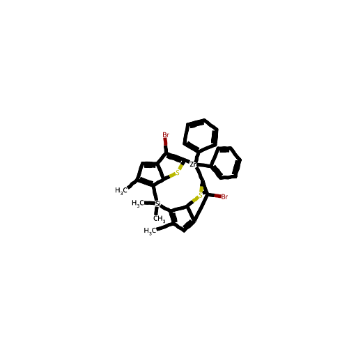 CC1=C2C3S[C](=C(Br)C3=C1)[Zr]([c]1ccccc1)([c]1ccccc1)[C]1=C(Br)C3=CC(C)=C(C3S1)[Si]2(C)C